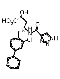 O=C(N[C@H](Cc1ccc(-c2ccccc2)cc1Cl)C[C@@H](O)C(=O)O)c1c[nH]nn1